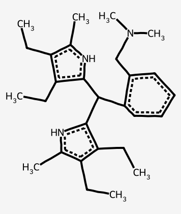 CCc1c(C)[nH]c(C(c2ccccc2CN(C)C)c2[nH]c(C)c(CC)c2CC)c1CC